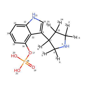 [2H]C1([2H])NC([2H])([2H])C([2H])(c2c[nH]c3cccc(OP(=O)(O)O)c23)C1([2H])[2H]